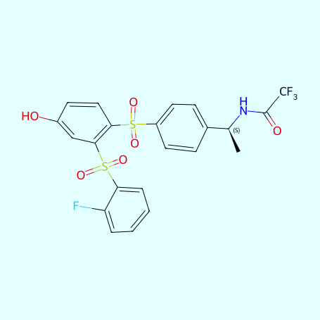 C[C@H](NC(=O)C(F)(F)F)c1ccc(S(=O)(=O)c2ccc(O)cc2S(=O)(=O)c2ccccc2F)cc1